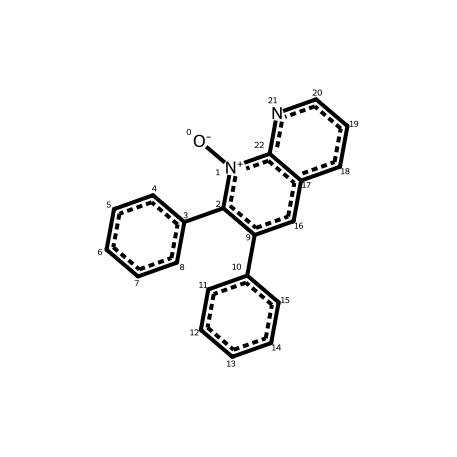 [O-][n+]1c(-c2ccccc2)c(-c2ccccc2)cc2cccnc21